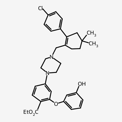 CCOC(=O)c1ccc(N2CCN(CC3=C(c4ccc(Cl)cc4)CC(C)(C)CC3)CC2)cc1Oc1cccc(O)c1